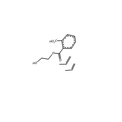 C=CC.C=CC.O=C(O)c1ccccc1C(=O)OCCO